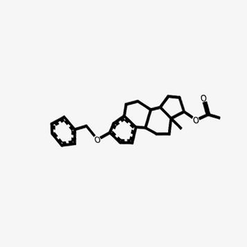 CC(=O)OC1CCC2C3CCc4cc(OCc5ccccc5)ccc4C3CCC12C